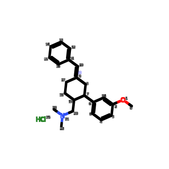 COc1cccc(C2C/C(=C/c3ccccc3)CCC2CN(C)C)c1.Cl